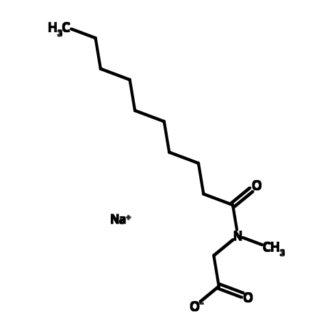 CCCCCCCCCC(=O)N(C)CC(=O)[O-].[Na+]